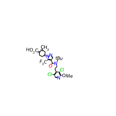 COc1ncc(Cl)c(CCN(CC(C)(C)C)C(=O)c2cnn([C@@H]3CC[C@@H](C(=O)O)[C@@H](C)C3)c2C(F)(F)F)c1Cl